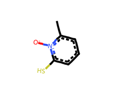 Cc1cccc(S)[n+]1[O-]